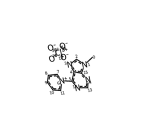 Cn1cnc2c(-[n+]3ccccc3)ncnc21.[O-][Cl+3]([O-])([O-])[O-]